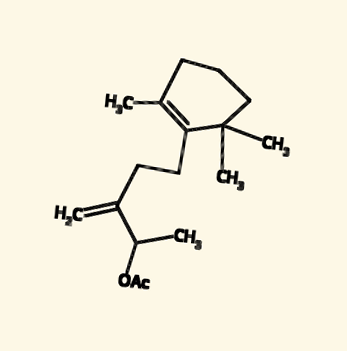 C=C(CCC1=C(C)CCCC1(C)C)C(C)OC(C)=O